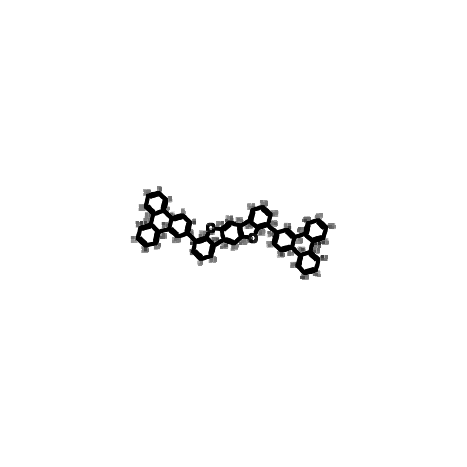 c1cc(-c2ccc3c4ccccc4c4ccccc4c3c2)c2oc3cc4c(cc3c2c1)oc1c(-c2ccc3c5ccccc5c5ccccc5c3c2)cccc14